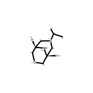 CC(C)N1C[C@H]2COC[C@@H](C1)N2